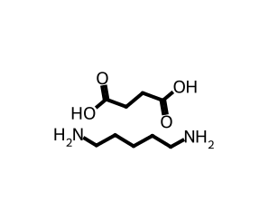 NCCCCCN.O=C(O)CCC(=O)O